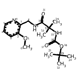 COc1cccnc1CNC(=O)C(C)(C)NC(=O)OC(C)(C)C